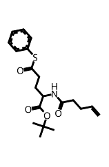 C=CCCC(=O)NC(CCC(=O)Sc1ccccc1)C(=O)OC(C)(C)C